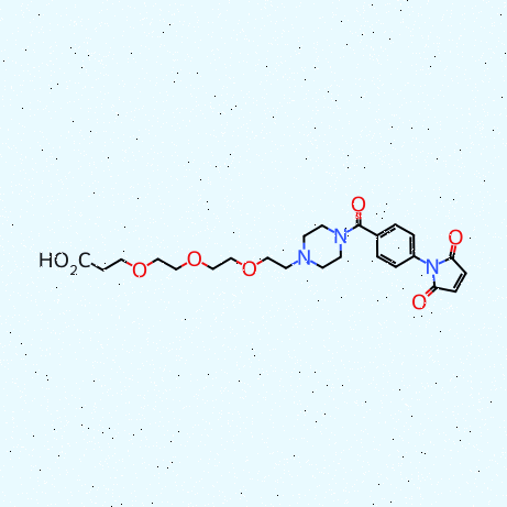 O=C(O)CCOCCOCCOCCN1CCN(C(=O)c2ccc(N3C(=O)C=CC3=O)cc2)CC1